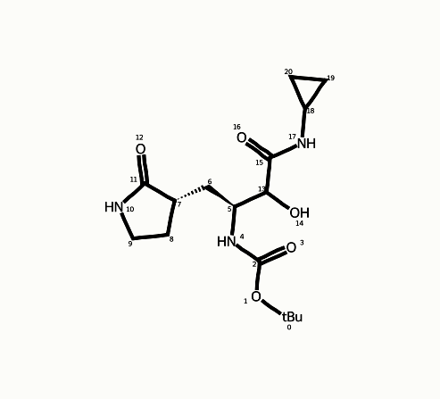 CC(C)(C)OC(=O)N[C@@H](C[C@@H]1CCNC1=O)C(O)C(=O)NC1CC1